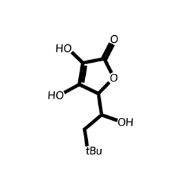 CC(C)(C)CC(O)C1OC(=O)C(O)=C1O